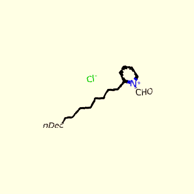 CCCCCCCCCCCCCCCCCCc1cccc[n+]1C=O.[Cl-]